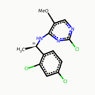 COc1cnc(Cl)nc1N[C@H](C)c1ccc(Cl)cc1Cl